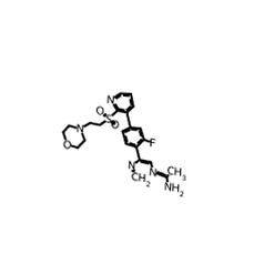 C=N/C(=C\N=C(/C)N)c1ccc(-c2cccnc2S(=O)(=O)CCN2CCOCC2)cc1F